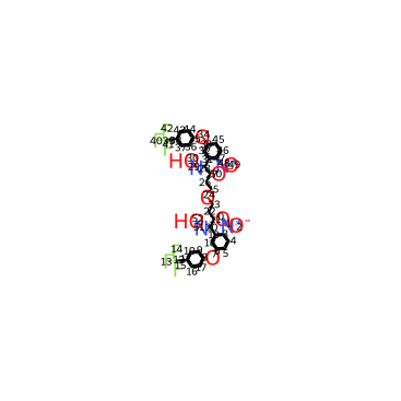 O=[N+]([O-])c1ccc(Oc2ccc(C(F)(F)F)cc2)cc1C(CCCOCCCC(=NO)c1cc(Oc2ccc(C(F)(F)F)cc2)ccc1[N+](=O)[O-])=NO